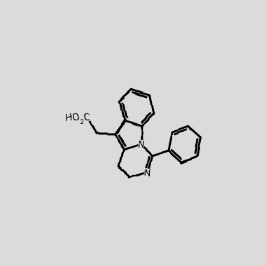 O=C(O)Cc1c2n(c3ccccc13)C(c1ccccc1)=NCC2